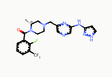 C[C@@H]1CN(Cc2cncc(Nc3cc[nH]n3)n2)CCN1C(=O)c1cccc(C(F)(F)F)c1F